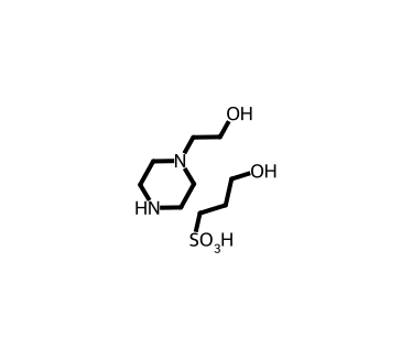 O=S(=O)(O)CCCO.OCCN1CCNCC1